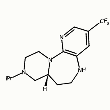 CC(C)N1CCN2c3ncc(C(F)(F)F)cc3NCC[C@@H]2C1